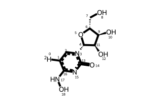 [2H]c1cn([C@@H]2O[C@H](CO)[C@@H](O)[C@H]2O)c(=O)nc1NO